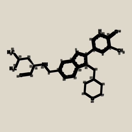 Cc1cc(-c2nc3cc(CN[C@H](C=O)CC(C)C)ccc3n2CC2CCOCC2)c[nH]c1=O